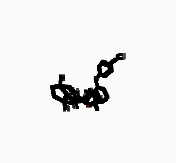 Cc1cc(N2C[C@H]3CC[C@@H](C2)[C@@H]3Nc2nc3n(n2)CCC[C@@H]3Oc2ccc(Cl)cc2)ncn1